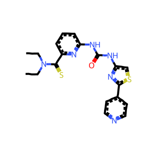 CCN(CC)C(=S)c1cccc(NC(=O)Nc2csc(-c3ccncc3)n2)n1